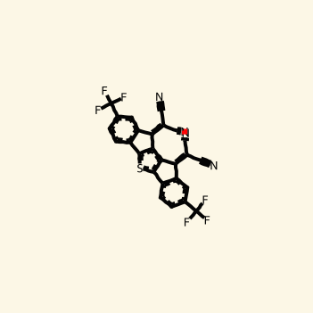 N#CC(C#N)=C1c2cc(C(F)(F)F)ccc2-c2sc3c(c21)C(=C(C#N)C#N)c1cc(C(F)(F)F)ccc1-3